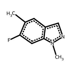 Cc1cc2cnn(C)c2cc1F